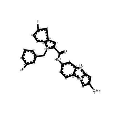 COc1cc2[nH]c3cc(NC(=O)c4cc5cc(F)ccc5n4Cc4cccc(F)c4)ccc3n2c1